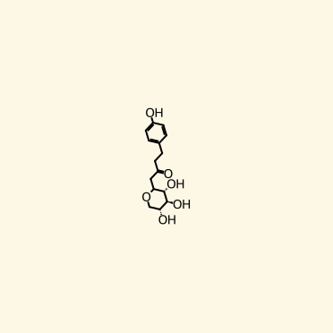 O=C(CCc1ccc(O)cc1)CC1OC[C@@H](O)[C@H](O)[C@H]1O